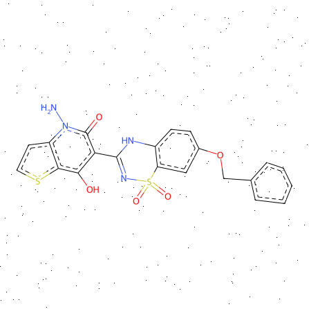 Nn1c(=O)c(C2=NS(=O)(=O)c3cc(OCc4ccccc4)ccc3N2)c(O)c2sccc21